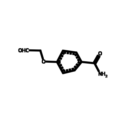 NC(=O)c1ccc(OCC=O)cc1